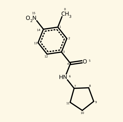 Cc1cc(C(=O)NC2CCCC2)ccc1[N+](=O)[O-]